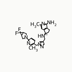 Cc1cc2c(c(N)n1)CC[C@H]2NCc1cnn(Cc2ccc(N3CC4C(C3)C4(F)F)nc2C)c1